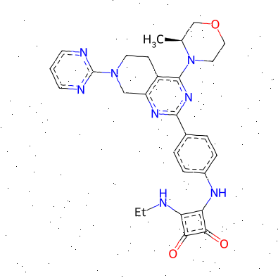 CCNc1c(Nc2ccc(-c3nc4c(c(N5CCOC[C@@H]5C)n3)CCN(c3ncccn3)C4)cc2)c(=O)c1=O